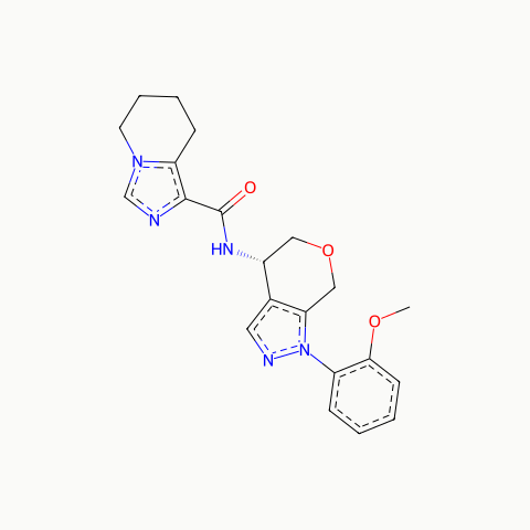 COc1ccccc1-n1ncc2c1COC[C@H]2NC(=O)c1ncn2c1CCCC2